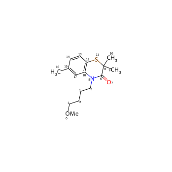 COCCCCN1C(=O)C(C)(C)Sc2ccc(C)cc21